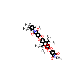 Cc1cc(C)c(-n2c(=O)c3cc4oc5cc6c(cc5oc4cc3c2=O)C2(C(C)C)c3ccccc3C6(C(C)C)c3cc4oc5cc6c(=O)n(C)c(=O)c6cc5oc4cc32)c(C)c1C